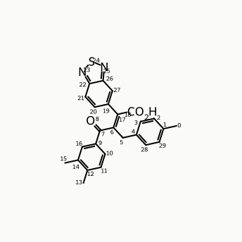 Cc1ccc(C/C(C(=O)c2ccc(C)c(C)c2)=C(\C(=O)O)c2ccc3nsnc3c2)cc1